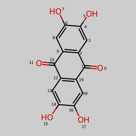 O=C1c2cc(O)c(O)cc2C(=O)c2cc(O)c(O)cc21